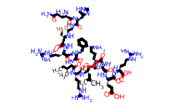 CC[C@H](C)[C@H](NC(=O)[C@H](Cc1ccccc1)NC(=O)[C@H](CCCNC(=N)N)NC(=O)[C@H](CS)NC(=O)CNC(=O)[C@H](Cc1c[nH]cn1)NC(=O)[C@@H](N)CCC(N)=O)C(=O)N[C@@H](CCCNC(=N)N)C(=O)N[C@@H](CC(C)C)C(=O)N[C@@H](CCCCN)C(=O)N[C@@H](CC(C)C)C(=O)N[C@@H](CCC(=O)O)C(=O)N[C@@H](CCCNC(=N)N)C(=O)O